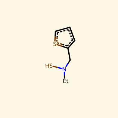 CCN(S)Cc1cccs1